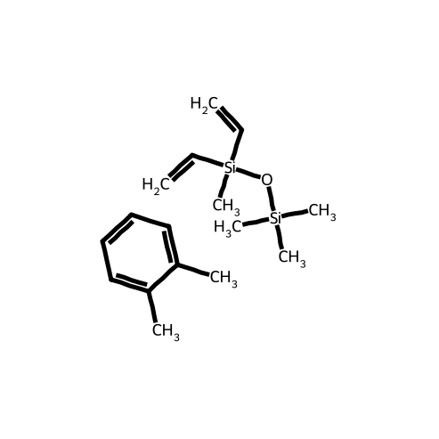 C=C[Si](C)(C=C)O[Si](C)(C)C.Cc1ccccc1C